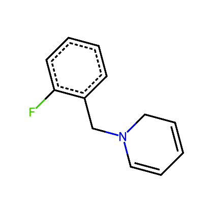 Fc1ccccc1CN1C=CC=CC1